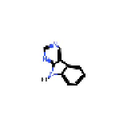 CCn1c2ccccc2c2cncnc21